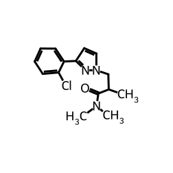 CC(Cn1ccc(-c2ccccc2Cl)n1)C(=O)N(C)C